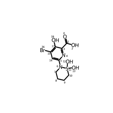 O=C(O)c1nc(N2CCCCS2(O)O)cc(Br)c1O